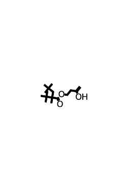 C=C(O)CCOC(=O)C(C)(CC(C)(C)C)C(C)(C)C